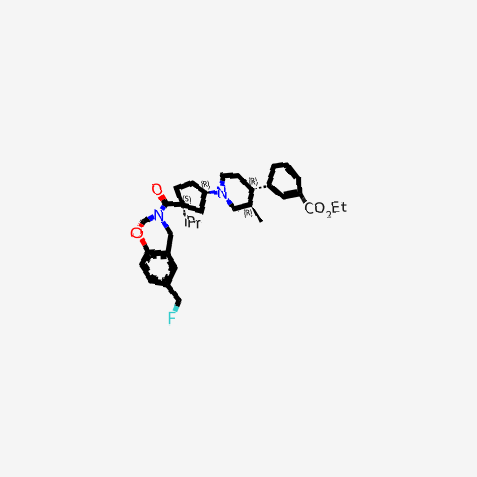 CCOC(=O)C1=CC([C@H]2CCN([C@@H]3CC[C@@](C(=O)N4COc5ccc(CF)cc5C4)(C(C)C)C3)C[C@@H]2C)CC=C1